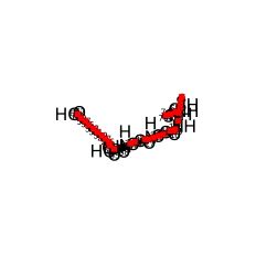 CCS/[SH]=C/NC(CCCCNC(C)(C)C(=O)CCOCCOCCNC(=O)CCOCCOCCNC(=O)CCC(NC(=O)CCCCCCCCCCCCCCCCC(=O)O)C(=O)O)C(=O)NCSC(C)C